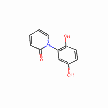 O=c1ccccn1-c1cc(O)ccc1O